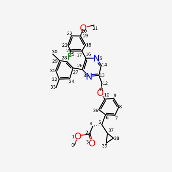 COC(=O)C[C@H](c1cccc(OCc2cnc(-c3cc(OC)ccc3F)c(-c3cc(C)cc(C)c3)n2)c1)C1CC1